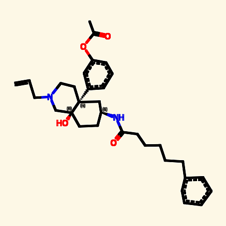 C=CCN1CC[C@@]2(c3cccc(OC(C)=O)c3)C[C@@H](NC(=O)CCCCCc3ccccc3)CC[C@]2(O)C1